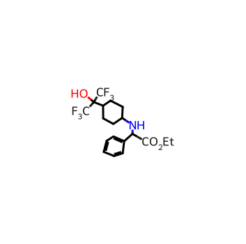 CCOC(=O)C(NC1CCC(C(O)(C(F)(F)F)C(F)(F)F)CC1)c1ccccc1